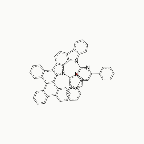 c1ccc(-c2cc(-c3ccccc3)nc(-n3c4ccccc4c4ccc5c6c7ccccc7c7c8ccccc8c8ccccc8c7c6n(-c6ccccc6)c5c43)n2)cc1